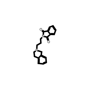 O=C1c2ccccc2C(=O)N1CCCN1CCc2ccccc2C1